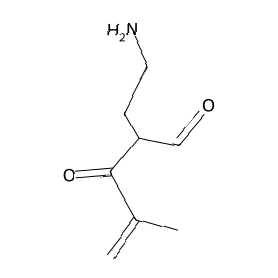 C=C(C)C(=O)C(C=O)CCN